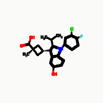 CC(C)c1c([C@H]2C[C@](C)(C(=O)O)C2)c2cc(O)ccc2n1-c1ccc(F)c(Cl)c1